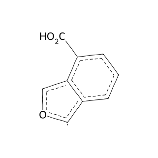 O=C(O)c1cccc2[c]occ12